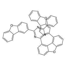 c1ccc(-c2nc(-c3ccc4oc5ccccc5c4c3)nc(-c3cccc4oc5cccc(-c6ccc7c(c6)oc6ccccc67)c5c34)n2)cc1